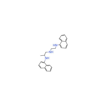 CC(CNCCNc1cccc2ccccc12)Nc1cccc2ccccc12